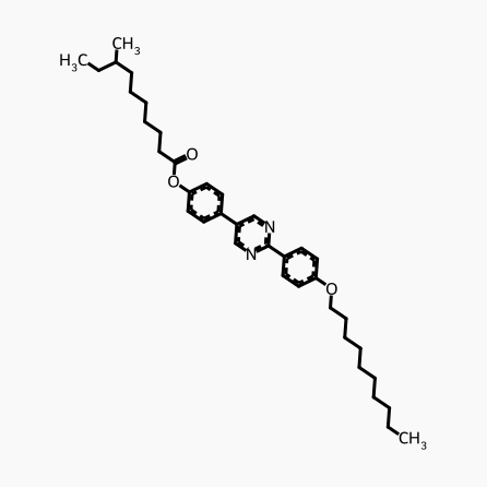 CCCCCCCCCCOc1ccc(-c2ncc(-c3ccc(OC(=O)CCCCCCC(C)CC)cc3)cn2)cc1